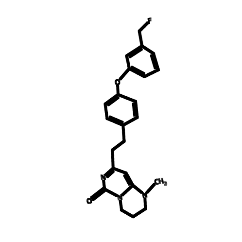 CN1CCCn2c1cc(CCc1ccc(Oc3cccc(CF)c3)cc1)nc2=O